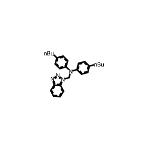 CCCCc1ccc(N(Cn2nnc3ccccc32)c2ccc(CCCC)cc2)cc1